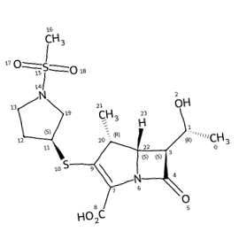 C[C@@H](O)[C@H]1C(=O)N2C(C(=O)O)=C(S[C@H]3CCN(S(C)(=O)=O)C3)[C@H](C)[C@H]12